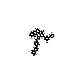 c1ccc(C2=NC(c3cc(-c4cccc(-c5ccccc5)c4)cc4oc5ccc6ccccc6c5c34)=NC(c3ccc(-c4ccc5ccccc5c4)cc3)N2)cc1